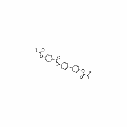 C=CC(=O)Oc1ccc(C(=O)Oc2ccc(-c3ccc(OC(=O)C(=C)F)cc3)cc2)cc1